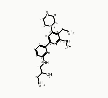 CC(C)Nc1nc(-c2cccc(NCC(O)CN)c2)cc(N2CCOCC2)c1CN